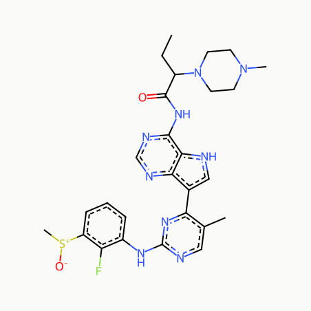 CCC(C(=O)Nc1ncnc2c(-c3nc(Nc4cccc([S+](C)[O-])c4F)ncc3C)c[nH]c12)N1CCN(C)CC1